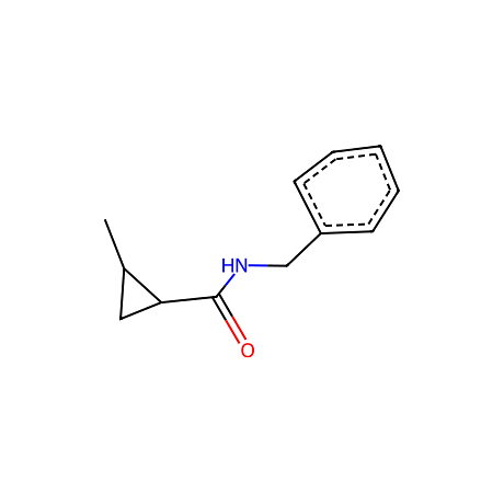 CC1CC1C(=O)NCc1ccccc1